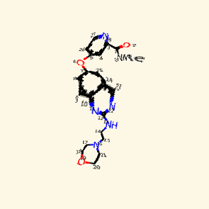 CNC(=O)c1cc(Oc2ccc3nc(NCCN4CCOCC4)ncc3c2)ccn1